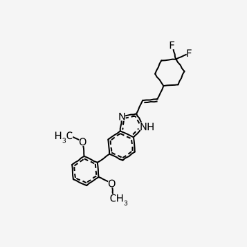 COc1cccc(OC)c1-c1ccc2[nH]c(C=CC3CCC(F)(F)CC3)nc2c1